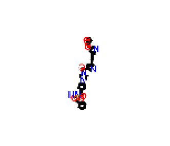 O=C(NS(=O)(=O)Cc1ccccc1)c1ccc(N2CCN(C(=O)c3cncc(C#Cc4cncc(OC5CCO5)c4)c3)CC2)cc1